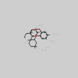 CCOC(=O)C1(C(=O)OCC)CCC2(c3cc(OC)c(OC)cc3CCN2C(C)=O)C(C2c3cc(OC)c(OC)cc3CCN2CC)C1